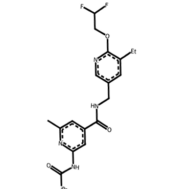 CCc1cc(CNC(=O)c2cc(C)nc(NC(=O)C(C)C)c2)cnc1OCC(F)F